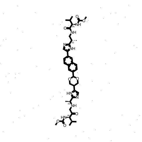 COC(=O)N[C@@H](C(=O)CN[C@@H](C)c1ncc(C2COC(c3ccc4cc(-c5cnc([C@@H](C)CNC(=O)[C@H](NC(=O)OC)C(C)C)[nH]5)ccc4c3)OC2)[nH]1)C(C)C